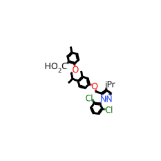 Cc1ccc(OCC(C)c2ccc(OCc3c(C(C)C)cnn3-c3c(Cl)cccc3Cl)cc2C)c(C(=O)O)c1